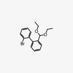 CCOC(OCC)c1ccccc1-c1ccccc1Br